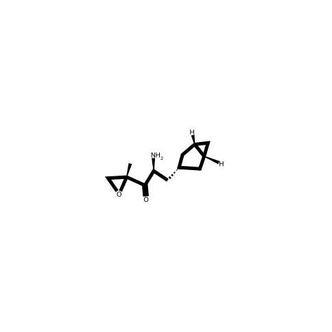 C[C@]1(C(=O)[C@@H](N)C[C@@H]2C[C@@H]3C[C@@H]3C2)CO1